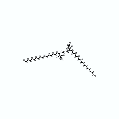 CCCCCCCCCCCCCCCCCC(SSSSC(CCCCCCCCCCCCCCCCC)[Si](C)(C)OC)[Si](C)(C)OC